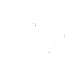 Cc1ccc(/C(N)=C/C(=N)c2c(P)cccc2C(N)=O)cc1